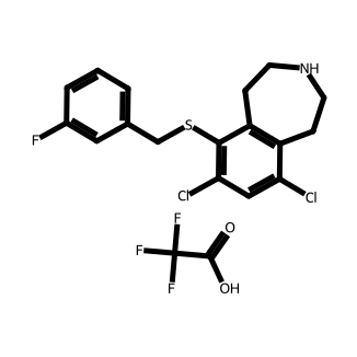 Fc1cccc(CSc2c(Cl)cc(Cl)c3c2CCNCC3)c1.O=C(O)C(F)(F)F